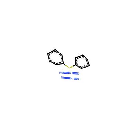 [N-]=[N+]=N.[N-]=[N+]=[N-].c1ccc(Sc2ccccc2)cc1